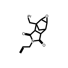 C=CCN1C(=O)C2C3CC(CC(C)C)(C4OC34)C2C1=O